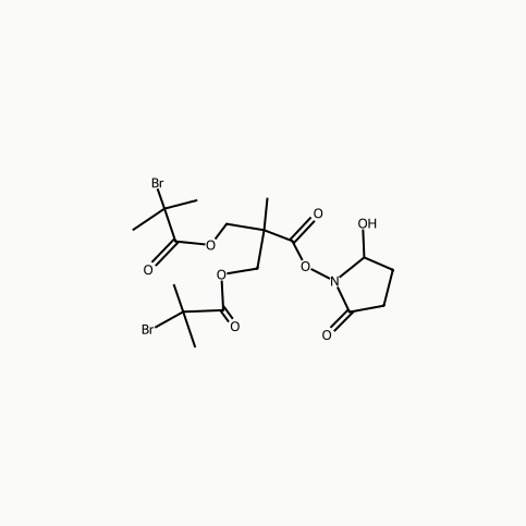 CC(C)(Br)C(=O)OCC(C)(COC(=O)C(C)(C)Br)C(=O)ON1C(=O)CCC1O